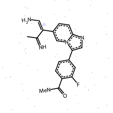 CNC(=O)c1ccc(-c2cnc3ccc(/C(=C/N)C(C)=N)cn23)cc1F